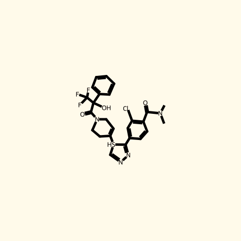 CN(C)C(=O)c1ccc(C2=NN=C[SH]2C2=CCN(C(=O)C(O)(c3ccccc3)C(F)(F)F)CC2)cc1Cl